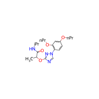 CCCOc1ccc(-n2cnc(OC(C)C(=O)NC(C)C)n2)c(OCCC)c1